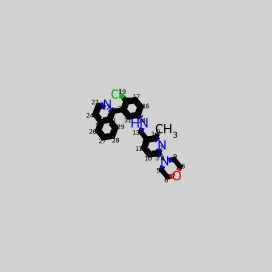 Cc1nc(N2CCOCC2)ccc1CNc1ccc(Cl)c(-c2nccc3ccccc23)c1